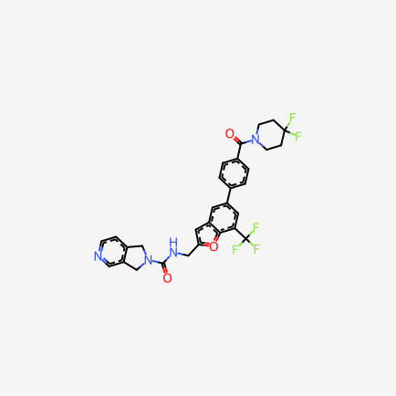 O=C(NCc1cc2cc(-c3ccc(C(=O)N4CCC(F)(F)CC4)cc3)cc(C(F)(F)F)c2o1)N1Cc2ccncc2C1